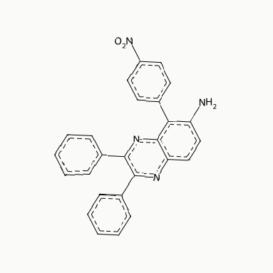 Nc1ccc2nc(-c3ccccc3)c(-c3ccccc3)nc2c1-c1ccc([N+](=O)[O-])cc1